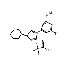 NCc1cc(F)cc(-c2cnn(C3CCCCC3)c2)c1.O=C(O)C(F)(F)F